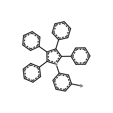 Brc1cccc(-n2c(-c3ccccc3)c(-c3ccccc3)c(-c3ccccc3)c2-c2ccccc2)c1